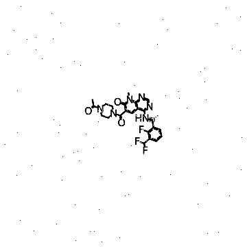 CC(=O)N1CCN(C(=O)c2cc3c(N[C@H](C)c4cccc(C(F)F)c4F)ncnc3n(C)c2=O)CC1